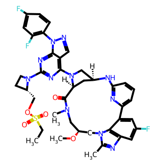 CCS(=O)(=O)OC[C@@H]1CCN1c1nc(N2C[C@@H]3C[C@H]2C(=O)N(C)C[C@H](OC)Cn2c(C)nc4cc(F)cc(c42)-c2cccc(n2)N3)c2cnn(-c3ccc(F)cc3F)c2n1